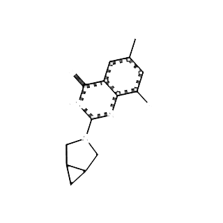 Cc1cc(Br)c2nc(N3CC4CC4C3)[nH]c(=O)c2c1